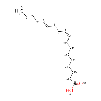 CCCC/C=C/CC/C=C\CCCCCCCC(=O)O